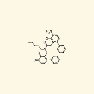 CCCCCN(CC1=C(c2ccccc2)C=CC(=O)C1=O)C(=O)Cn1c(-c2ccccc2)ncc(N)c1=O